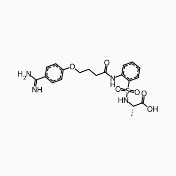 C[C@H](NS(=O)(=O)c1ccccc1NC(=O)CCCOc1ccc(C(=N)N)cc1)C(=O)O